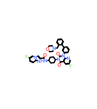 O=C(NC1CCC(n2c(=O)c3cc(F)cnc3n(-c3cccc(-c4ccccc4CN4CCOCC4)c3)c2=O)CC1)c1cn2cc(F)ccc2n1